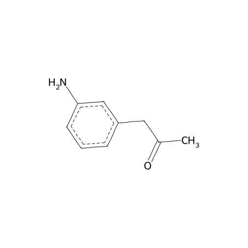 CC(=O)Cc1cccc(N)c1